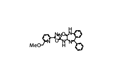 COCc1cccc(-c2nnc(NC3N=C(c4ccccc4)c4ccccc4NC3=O)o2)n1